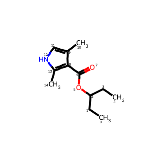 CCC(CC)OC(=O)c1c(C)c[nH]c1C